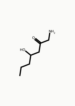 CCCC(O)CC(=O)CN